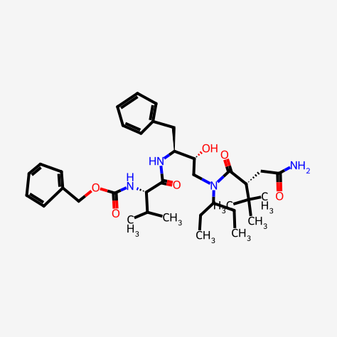 CCC(CC)N(C[C@@H](O)[C@H](Cc1ccccc1)NC(=O)[C@@H](NC(=O)OCc1ccccc1)C(C)C)C(=O)[C@H](CC(N)=O)C(C)(C)C